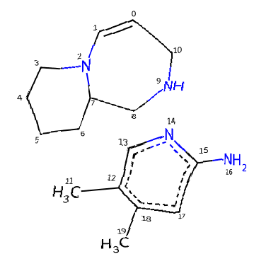 C1=CN2CCCCC2CNC1.Cc1cnc(N)cc1C